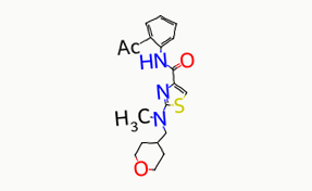 CC(=O)c1ccccc1NC(=O)c1csc(N(C)CC2CCOCC2)n1